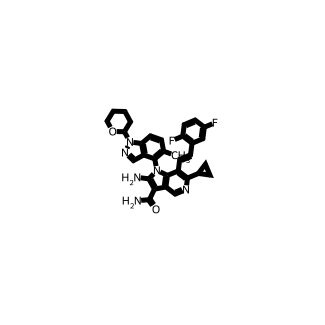 Cc1ccc2c(cnn2C2CCCCO2)c1-n1c(N)c(C(N)=O)c2cnc(C3CC3)c(/C=C/c3cc(F)ccc3F)c21